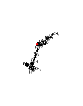 C=CCOC(=O)NCC(=O)NCN1C(=O)CCC(N2C(=O)c3cccc(NCCCCNC(=O)CCCCC(=O)Nc4ccc(Oc5ccc(F)cc5F)c(-c5cn(C)c(=O)c6[nH]ccc56)c4)c3C2=O)C1=O